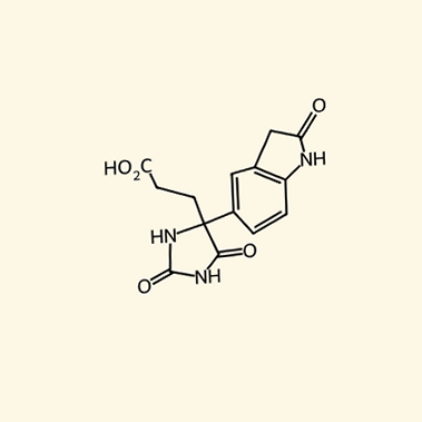 O=C(O)CCC1(c2ccc3c(c2)CC(=O)N3)NC(=O)NC1=O